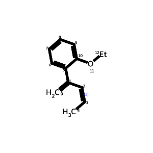 C=C(/C=C\C)c1ccccc1OCC